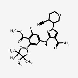 COC(=O)c1c(F)cc(Nc2nn(C3COCCC3C#N)cc2C(N)=O)cc1B1OC(C)(C)C(C)(C)O1